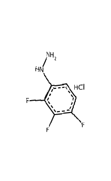 Cl.NNc1ccc(F)c(F)c1F